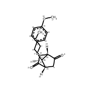 COCO[C@@H]1[C@@H]2CC(=O)[C@H]1N(Cc1ccc(OC)cc1)C2=O